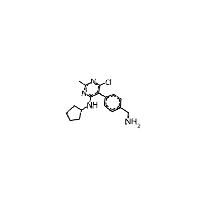 Cc1nc(Cl)c(-c2ccc(CN)cc2)c(NC2CCCC2)n1